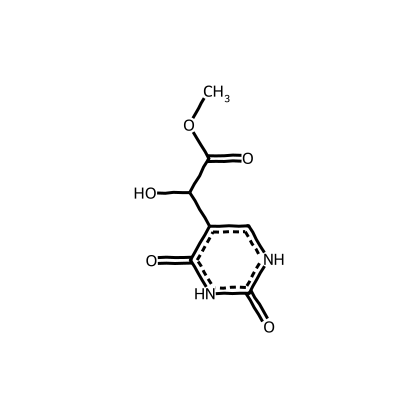 COC(=O)C(O)c1c[nH]c(=O)[nH]c1=O